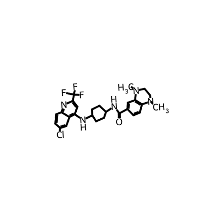 CN1CCN(C)c2cc(C(=O)NC3CCC(Nc4cc(C(F)(F)F)nc5ccc(Cl)cc45)CC3)ccc21